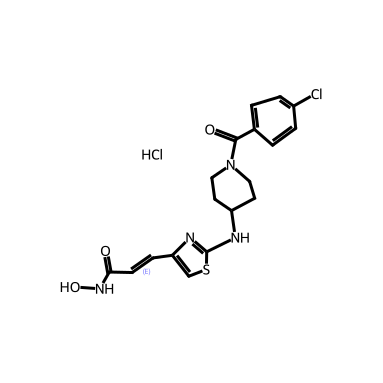 Cl.O=C(/C=C/c1csc(NC2CCN(C(=O)c3ccc(Cl)cc3)CC2)n1)NO